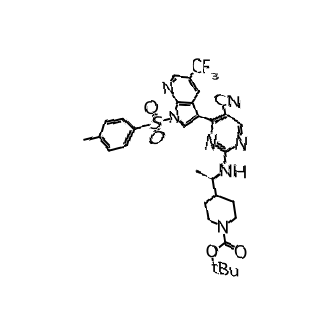 Cc1ccc(S(=O)(=O)n2cc(-c3nc(N[C@H](C)C4CCN(C(=O)OC(C)(C)C)CC4)ncc3C#N)c3cc(C(F)(F)F)cnc32)cc1